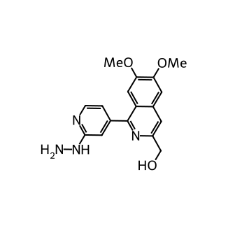 COc1cc2cc(CO)nc(-c3ccnc(NN)c3)c2cc1OC